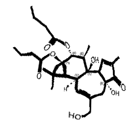 CCCC(=O)O[C@@H]1[C@@H](C)[C@]2(O)C3C=C(C)C(=O)[C@@]3(O)CC(CO)=C[C@H]2C2C(C)(C)[C@@]21OC(=O)CCC